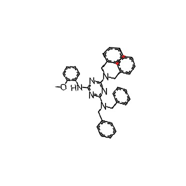 COc1ccccc1Nc1nc(N(Cc2ccccc2)Cc2ccccc2)nc(N(Cc2ccccc2)Cc2ccccc2)n1